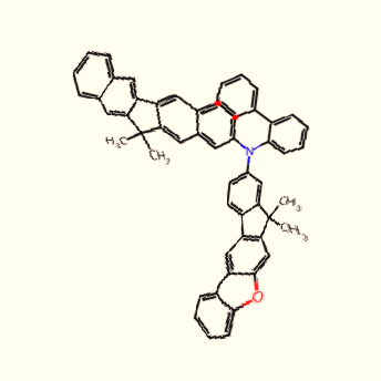 CC1(C)c2cc3ccccc3cc2-c2cc3ccc(N(c4ccc5c(c4)C(C)(C)c4cc6oc7ccccc7c6cc4-5)c4ccccc4-c4ccccc4)cc3cc21